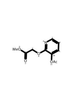 COC(=O)COc1ncccc1OC(C)=O